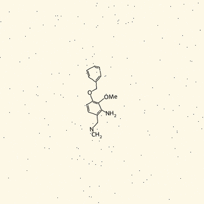 C=NCc1ccc(OCc2ccccc2)c(OC)c1N